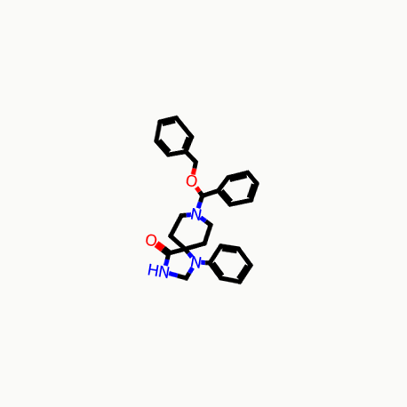 O=C1NCN(c2ccccc2)C12CCN(C(OCc1ccccc1)c1ccccc1)CC2